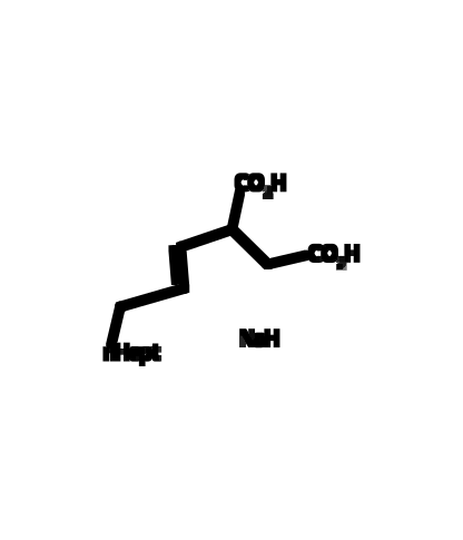 CCCCCCCCC=CC(CC(=O)O)C(=O)O.[NaH]